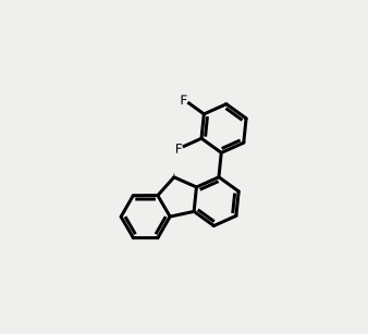 Fc1cccc(-c2cccc3c2[CH]c2ccccc2-3)c1F